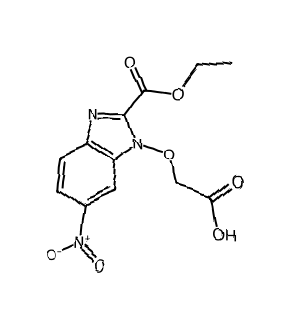 CCOC(=O)c1nc2ccc([N+](=O)[O-])cc2n1OCC(=O)O